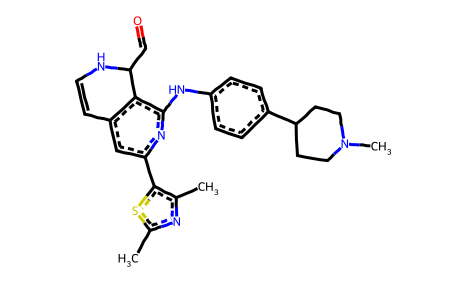 Cc1nc(C)c(-c2cc3c(c(Nc4ccc(C5CCN(C)CC5)cc4)n2)C(C=O)NC=C3)s1